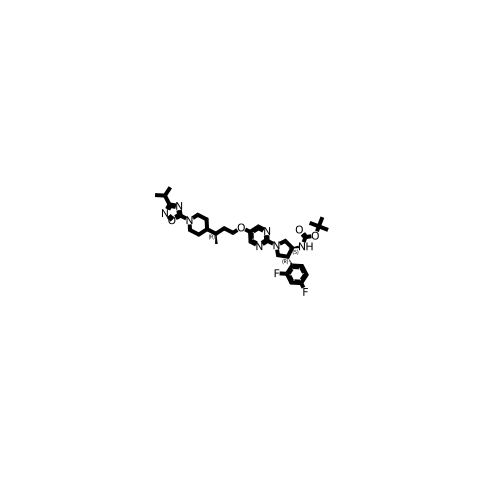 CC(C)c1noc(N2CCC([C@H](C)CCOc3cnc(N4C[C@@H](NC(=O)OC(C)(C)C)[C@H](c5ccc(F)cc5F)C4)nc3)CC2)n1